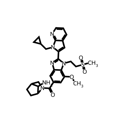 COc1cc(C(=O)N2CC3CCC2C3N)cc2nc(-c3cc4cccnc4n3CC3CC3)n(CCS(C)(=O)=O)c12